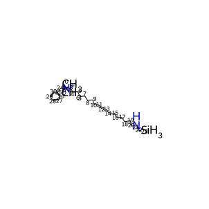 C[N+](C)(CCCCCCCCCCCCCCCCCCNC[SiH3])Cc1ccccc1